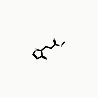 COC(=O)CCC1OC=CC1=O